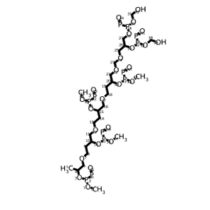 COP(OC(C)COCCC(COCCC(COCCC(COCOCC(COP(OCO)P=O)OP(OCO)P=O)OP(OC)P=O)OP(OC)P=O)OP(OC)P=O)P=O